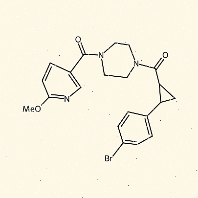 COc1ccc(C(=O)N2CCN(C(=O)C3CC3c3ccc(Br)cc3)CC2)cn1